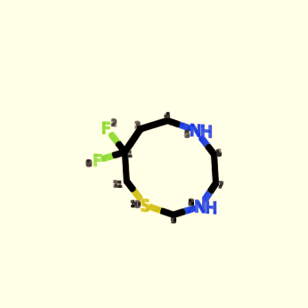 FC1(F)CCNCCNCSC1